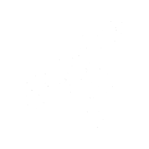 CC(C)(C)c1ccc(N2B3c4cc5nc(-c6ccccc6)oc5cc4-n4c5cc6c(cc5c5ccc(c3c54)-c3cc4c(cc32)-c2ccc(C(C)(C)C)cc2C4(C)C)C(C)(C)c2ccccc2-6)cc1